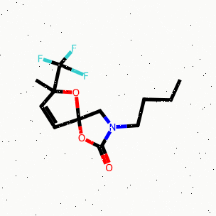 CCCCN1CC2(C=CC(C)(C(F)(F)F)O2)OC1=O